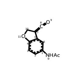 CC(=O)Nc1ccc2c(c1)C(=C=O)CO2